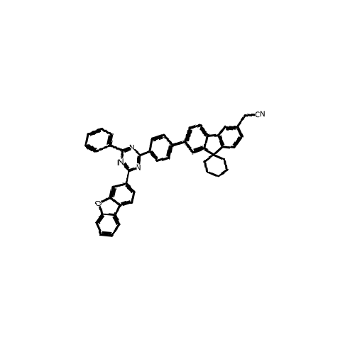 N#CCc1ccc2c(c1)-c1ccc(-c3ccc(-c4nc(-c5ccccc5)nc(-c5ccc6c(c5)oc5ccccc56)n4)cc3)cc1C21CCCCC1